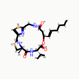 CCCC/C=C/[C@@H]1CC(=O)NCc2nc(cs2)C2=N[C@@](C)(CS2)C(=O)N[C@@H](C(C)C)C(=O)O1